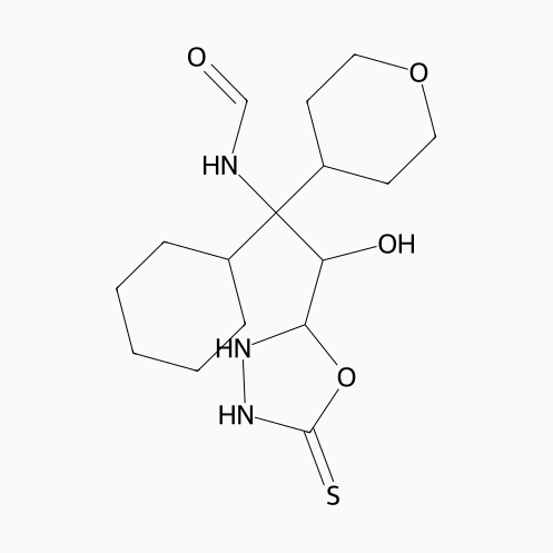 O=CNC(C1CCCCC1)(C1CCOCC1)C(O)C1NNC(=S)O1